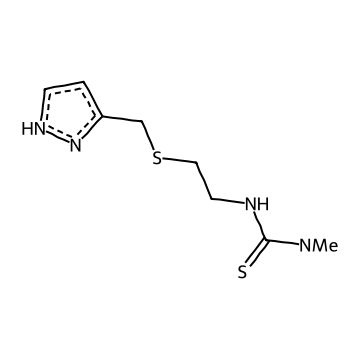 CNC(=S)NCCSCc1cc[nH]n1